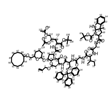 C=CCOC(=O)C[C@H](NC(=O)C(CSC(c1ccccc1)(c1ccccc1)c1ccccc1)NC(=O)CNC(=O)C(NC(=O)CNC(=O)C1CC2(C)c3ccccc3NC2N1C(=O)OC(C)(C)C)C(C)CC)C(=O)N1C[C@H](OC2CCCC(COC3CCCCCCCCC3)O2)C[C@H]1C(=O)N[C@H](C(=O)OC(C)(C)C)[C@@H](C)[C@H](COC(C)=O)OC(C)=O